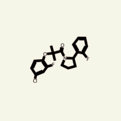 CC(C)(Oc1ccc(Cl)cc1F)C(=O)N1CCCC1c1ccccc1F